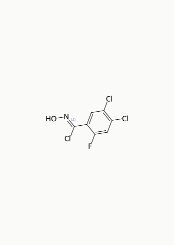 O/N=C(\Cl)c1cc(Cl)c(Cl)cc1F